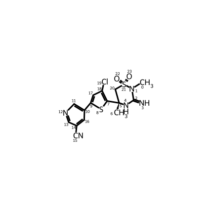 CN1C(=N)N[C@](C)(c2sc(-c3cncc(C#N)c3)cc2Cl)CS1(=O)=O